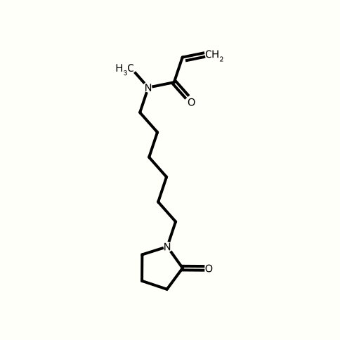 C=CC(=O)N(C)CCCCCCN1CCCC1=O